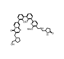 COc1nc(-c2cccc(-c3cccc(-c4ccn5c(=O)c(CN6CCCC6CO)cnc5c4)c3Cl)c2Cl)ccc1CNCC1CCC(=O)N1